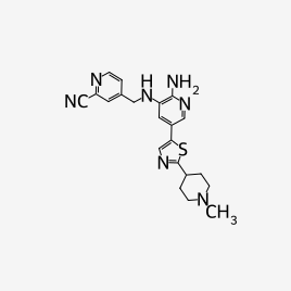 CN1CCC(c2ncc(-c3cnc(N)c(NCc4ccnc(C#N)c4)c3)s2)CC1